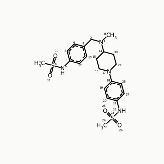 CN(Cc1ccc(NS(C)(=O)=O)cc1)C1CCN(c2ccc(NS(C)(=O)=O)cc2)CC1